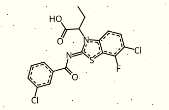 CCC(C(=O)O)n1/c(=N/C(=O)c2cccc(Cl)c2)sc2c(F)c(Cl)ccc21